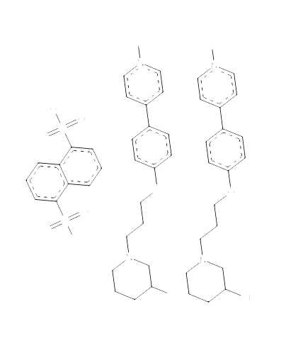 CC1CCCN(CCCOc2ccc(-c3cc[n+]([O-])cc3)cc2)C1.CC1CCCN(CCCOc2ccc(-c3cc[n+]([O-])cc3)cc2)C1.O=S(=O)(O)c1cccc2c(S(=O)(=O)O)cccc12